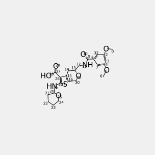 COc1cc(OC)cc(C(=O)NCC2Cc3c(sc(NC4CCCCO4)c3C(=O)O)CO2)c1